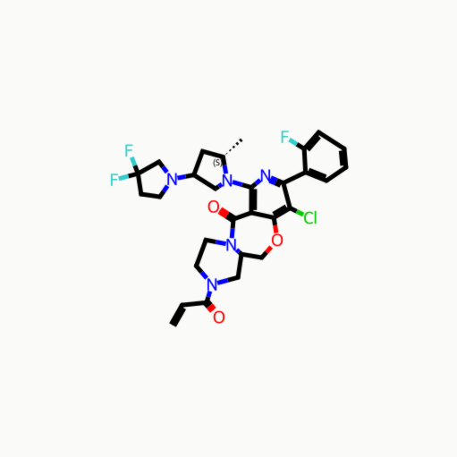 C=CC(=O)N1CCN2C(=O)c3c(N4CC(N5CCC(F)(F)C5)C[C@@H]4C)nc(-c4ccccc4F)c(Cl)c3OCC2C1